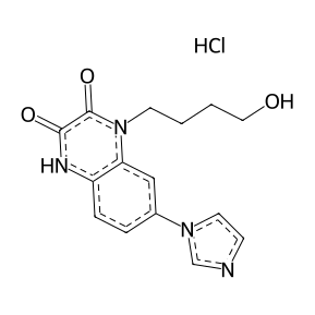 Cl.O=c1[nH]c2ccc(-n3ccnc3)cc2n(CCCCO)c1=O